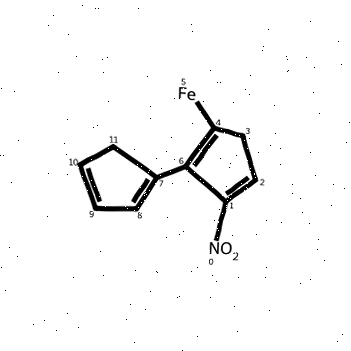 O=[N+]([O-])C1=CC[C]([Fe])=C1C1=CC=CC1